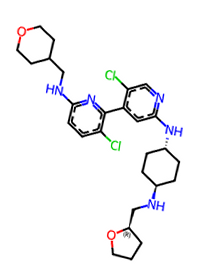 Clc1cnc(N[C@H]2CC[C@H](NC[C@H]3CCCO3)CC2)cc1-c1nc(NCC2CCOCC2)ccc1Cl